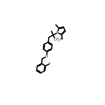 Cc1ccc(C)n1C(C)(Cc1ccc(OCc2ccccc2F)cc1)C(=O)O